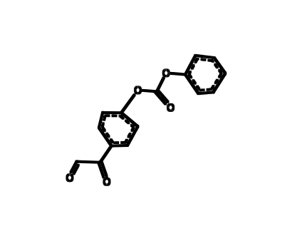 O=CC(=O)c1ccc(OC(=O)Oc2ccccc2)cc1